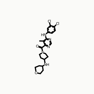 Cc1c(Nc2ccc(Cl)c(Cl)c2)ncnc1C(=O)N1CCC(NC2CCOCC2)CC1